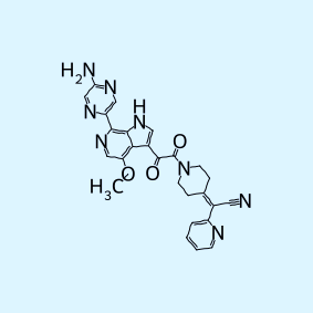 COc1cnc(-c2cnc(N)cn2)c2[nH]cc(C(=O)C(=O)N3CCC(=C(C#N)c4ccccn4)CC3)c12